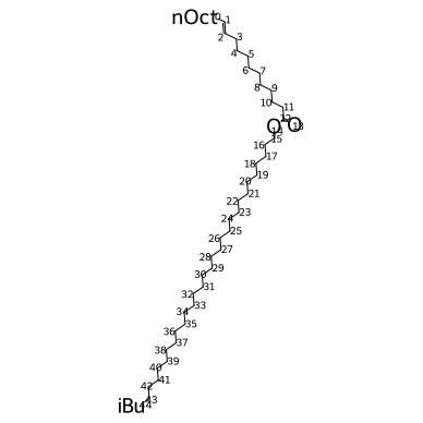 CCCCCCCCC=CCCCCCCCCCC(=O)OCCCCCCCCCCCCCCCCCCCCCCCCCCCCCC(C)CC